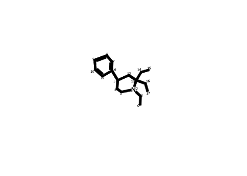 CCN1CCC(c2ccccc2)CC1(CC)CC